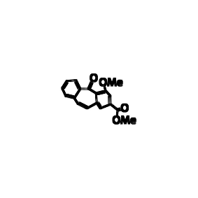 COC(=O)c1cc(OC)c2c(=O)c3ccccc3ccc2c1